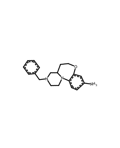 Nc1ccc2c(c1)OCCC1CN(Cc3ccccc3)CCN21